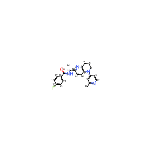 Cc1cc(N2CCCc3nc([C@@H](C)NC(=O)c4ccc(F)cc4)ccc32)ccn1